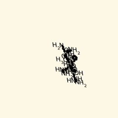 C[C@H](NC(=O)[C@H](CCCCN)NC(=O)CN)C(=O)N[C@@H](Cc1ccccc1)C(=O)N[C@@H](CCCNC(=N)N)C(=O)N[C@@H](CCCNC(=N)N)C(=O)O